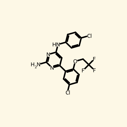 Nc1nc(Nc2ccc(Cl)cc2)cc(-c2cc(Cl)ccc2OCC(F)(F)F)n1